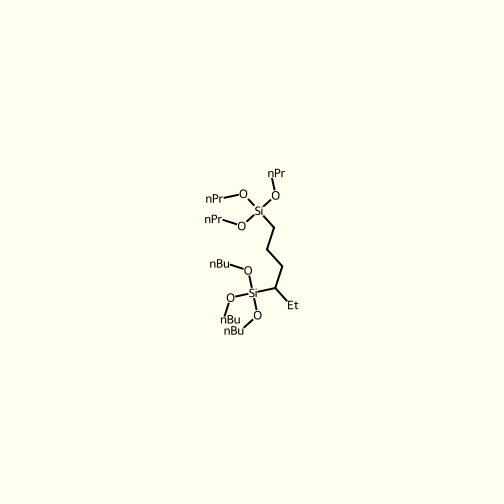 [CH2]CC(CCC[Si](OCCC)(OCCC)OCCC)[Si](OCCCC)(OCCCC)OCCCC